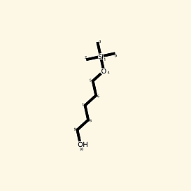 C[Si](C)(C)OCCCCCO